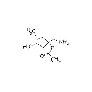 CC(=O)OC1(CN)CC(C)C(C)C1